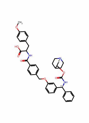 COc1ccc(CC(NC(=O)c2ccc(COc3cccc([C@@H](NC(=O)OC4CN5CCC4CC5)c4ccccc4)c3)cc2)C(=O)O)cc1